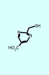 O=C(O)c1cnc(CS)nc1